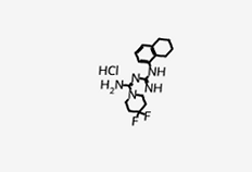 Cl.N=C(N=C(N)N1CCC(F)(F)CC1)Nc1cccc2c1CCCC2